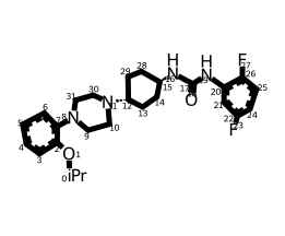 CC(C)Oc1ccccc1N1CCN([C@H]2CC[C@@H](NC(=O)Nc3cc(F)ccc3F)CC2)CC1